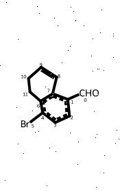 O=Cc1ccc(Br)c2c1C=CCC2